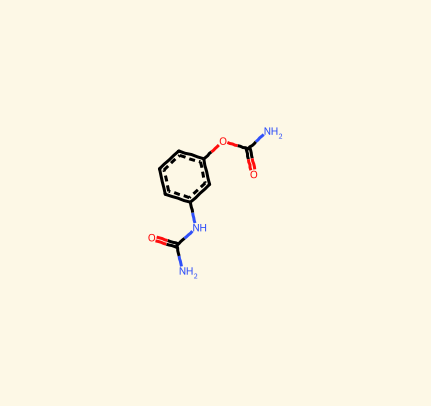 NC(=O)Nc1cccc(OC(N)=O)c1